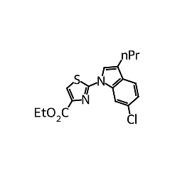 CCCc1cn(-c2nc(C(=O)OCC)cs2)c2cc(Cl)ccc12